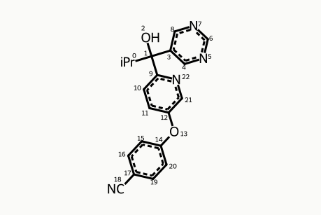 CC(C)C(O)(c1cncnc1)c1ccc(Oc2ccc(C#N)cc2)cn1